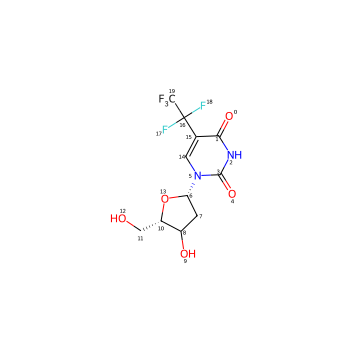 O=c1[nH]c(=O)n([C@@H]2CC(O)[C@H](CO)O2)cc1C(F)(F)C(F)(F)F